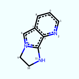 c1cnc2c3n(cc2c1)CCN3